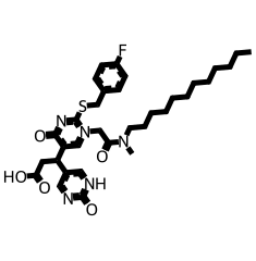 CCCCCCCCCCCCN(C)C(=O)Cn1cc(C(CC(=O)O)c2cnc(=O)[nH]c2)c(=O)nc1SCc1ccc(F)cc1